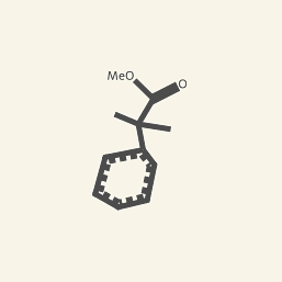 COC(=O)C(C)(C)c1cc[c]cc1